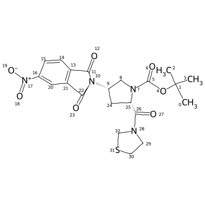 CC(C)(C)OC(=O)N1C[C@@H](N2C(=O)c3ccc([N+](=O)[O-])cc3C2=O)C[C@H]1C(=O)N1CCSC1